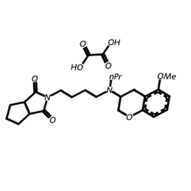 CCCN(CCCCN1C(=O)C2CCCC2C1=O)C1COc2cccc(OC)c2C1.O=C(O)C(=O)O